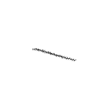 CCCCCCCCCCCCCOCCOCCOCCOCCOCCOCCOCCOCCOCCCO